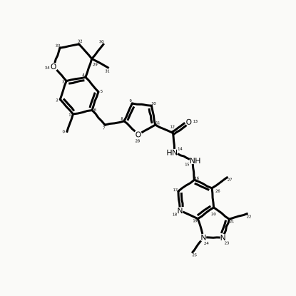 Cc1cc2c(cc1Cc1ccc(C(=O)NNc3cnc4c(c(C)nn4C)c3C)o1)C(C)(C)CCO2